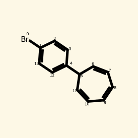 Brc1ccc(C2C=CC=CC=C2)cc1